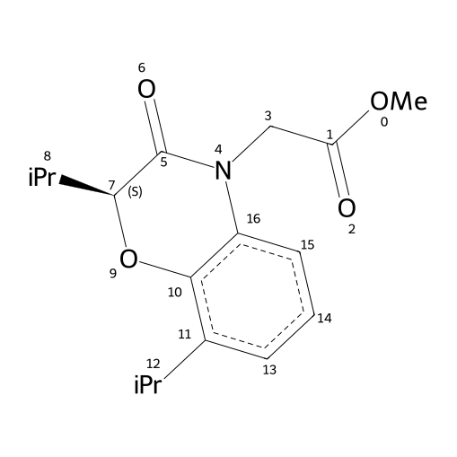 COC(=O)CN1C(=O)[C@H](C(C)C)Oc2c(C(C)C)cccc21